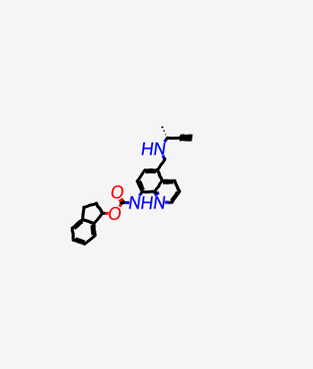 C#C[C@@H](C)NCc1ccc(NC(=O)OC2CCc3ccccc32)c2ncccc12